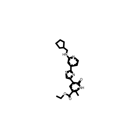 CCOC(=O)c1cc(-c2csc(-c3ccnc(NCC4CCCC4)c3)n2)c(=O)[nH]c1C